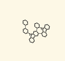 c1ccc(-c2cccc(-n3c4ccccc4c4cc5c(cc43)-c3ccccc3-n3c4ccccc4c4cccc-5c43)c2)cc1